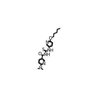 CCCCCOc1ccc(NC(=S)NC(=O)c2ccc(N(C)C)nc2)cn1